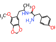 COc1cc2c(cc1CC(C)NC(=O)C(N)Cc1ccc(O)cc1)OCO2